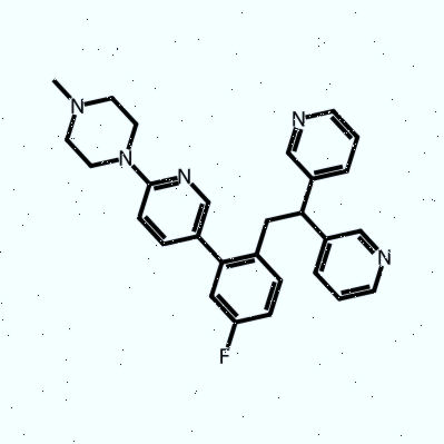 CN1CCN(c2ccc(-c3cc(F)ccc3CC(c3cccnc3)c3cccnc3)cn2)CC1